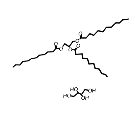 CCCCCCCCCCCC(=O)OCC(COC(=O)CCCCCCCCCCC)OC(=O)CCCCCCCCCCC.OCC(O)C(O)CO